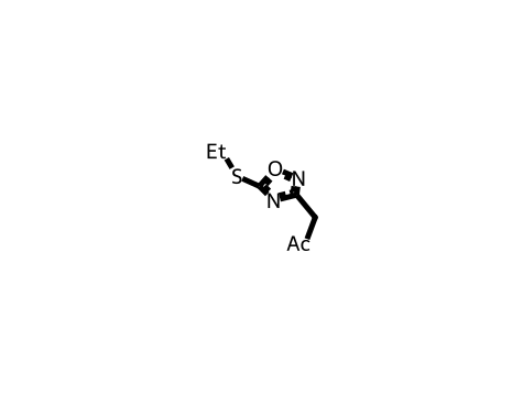 CCSc1nc(CC(C)=O)no1